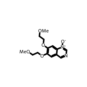 COCCOc1cc2cnc[n+]([O-])c2cc1OCCOC